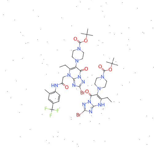 CCc1[nH]c2nc(Br)nn2c(=O)c1N1CCN(C(=O)OC(C)(C)C)CC1.CCc1c(N2CCN(C(=O)OC(C)(C)C)CC2)c(=O)n2nc(Br)nc2n1CC(=O)Nc1ccc(C(F)(F)F)cc1C